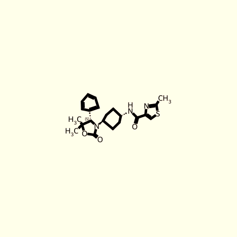 Cc1nc(C(=O)N[C@H]2CC[C@H](N3C(=O)OC(C)(C)[C@@H]3c3ccccc3)CC2)cs1